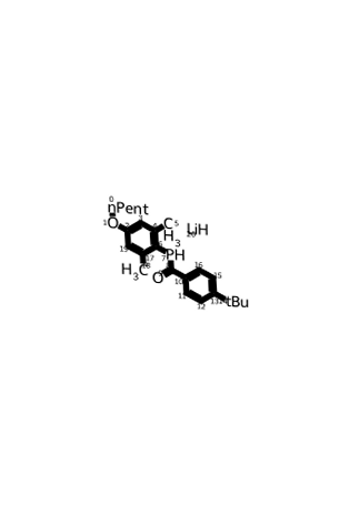 CCCCCOc1cc(C)c(PC(=O)c2ccc(C(C)(C)C)cc2)c(C)c1.[LiH]